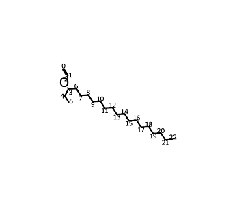 C=COC(CC)CCCCCCCCCCCCCCCCC